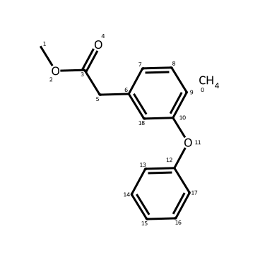 C.COC(=O)Cc1cccc(Oc2ccccc2)c1